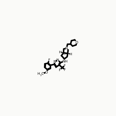 COc1ccc(F)c(-c2cc(C(F)(F)F)c(N[C@@H]3C[C@@H]4CN(CC5CCOCC5)C[C@@H]4C3)nn2)c1